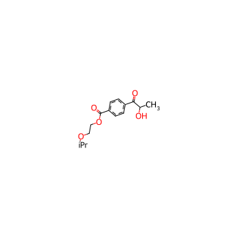 CC(C)OCCOC(=O)c1ccc(C(=O)C(C)O)cc1